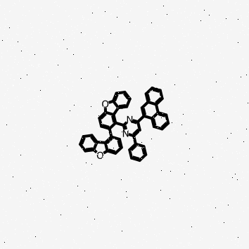 c1ccc(-c2cc(-c3cc4ccccc4c4ccccc34)nc(-c3c(-c4cccc5oc6ccccc6c45)ccc4oc5ccccc5c34)n2)cc1